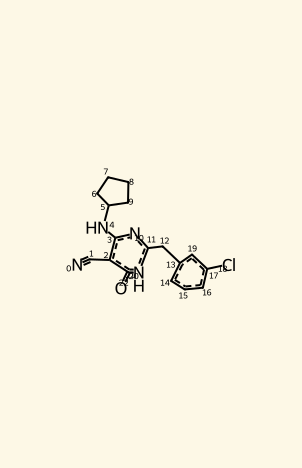 N#Cc1c(NC2CCCC2)nc(Cc2cccc(Cl)c2)[nH]c1=O